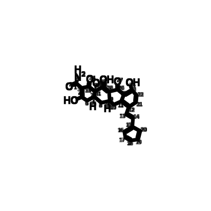 NC(=O)C1=C(O)C[C@@H]2C[C@@H]3Cc4c(/C=C/c5ccccc5)ccc(O)c4C(=O)C3=C(O)[C@]2(O)C1=O